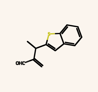 C=C(C=O)C(C)c1cc2ccccc2s1